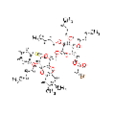 CCCCOC1C(OCCCC)[C@H](OCCCC)C(COC(=O)CBr)O[C@H]1OCC1O[C@@H](Sc2ccccc2)C(OCCCC)C(OCCCC)[C@@H]1OCCCC